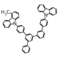 Cc1cccc2c1c1ccccc1n2-c1ccc(-c2cc(-c3ccccc3)cc(-c3cccc(-c4ccc(-n5c6ccccc6c6ccccc65)cc4)c3)c2)cc1